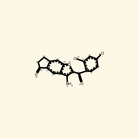 Nc1c(C(=O)c2ccc(Cl)cc2Cl)oc2cc3c(cc12)C(=O)CC3